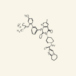 CN(C)Cc1cc(O)ccc1-c1cccc(-n2c(=O)n([C@H]3CC[C@@H](NC(=O)c4cn5c(n4)CCCC5)CC3)c(=O)c3cc(F)cnc32)c1